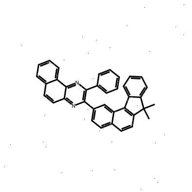 CC1(C)c2ccccc2-c2c1ccc1ccc(-c3nc4ccc5ccccc5c4nc3-c3ccccc3)cc21